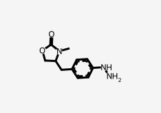 CN1C(=O)OCC1Cc1ccc(NN)cc1